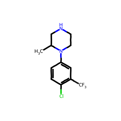 CC1CNCCN1c1ccc(Cl)c(C(F)(F)F)c1